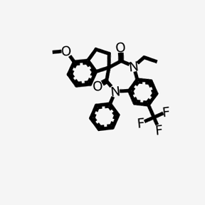 CCN1C(=O)C2(CCc3c(OC)cccc32)C(=O)N(c2ccccc2)c2cc(C(F)(F)F)ccc21